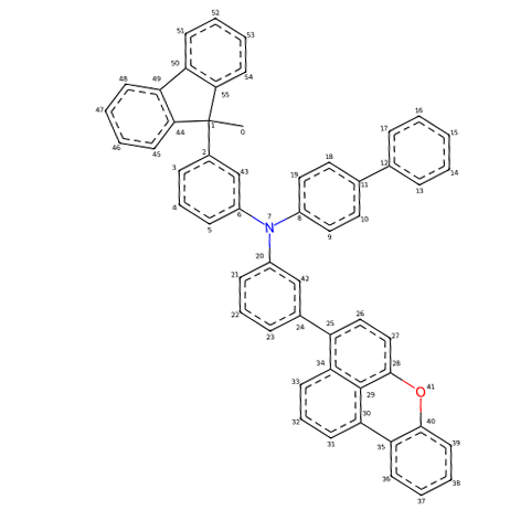 CC1(c2cccc(N(c3ccc(-c4ccccc4)cc3)c3cccc(-c4ccc5c6c(cccc46)-c4ccccc4O5)c3)c2)c2ccccc2-c2ccccc21